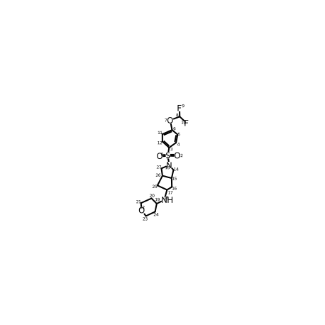 O=S(=O)(c1ccc(OC(F)F)cc1)N1CC2CC(NC3CCOCC3)CC2C1